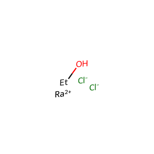 CCO.[Cl-].[Cl-].[Ra+2]